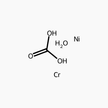 O.O=C(O)O.[Cr].[Ni]